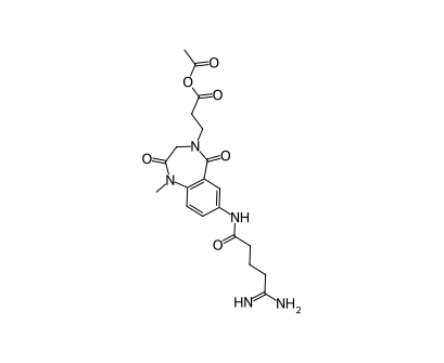 CC(=O)OC(=O)CCN1CC(=O)N(C)c2ccc(NC(=O)CCCC(=N)N)cc2C1=O